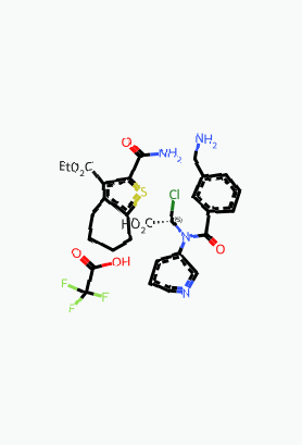 CCOC(=O)c1c(C(N)=O)sc2c1CCCC2.NCc1cccc(C(=O)N(c2cccnc2)[C@@H](Cl)C(=O)O)c1.O=C(O)C(F)(F)F